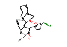 CC(C)C1C=c2ccc3c(c2C(c2ccc(F)cc2)C1=O)C(=O)C=c1ccccc1=3